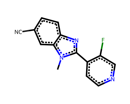 Cn1c(-c2ccncc2F)nc2ccc(C#N)cc21